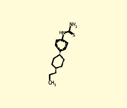 CCC[C@H]1CC[C@H](c2ccc(NC(N)=S)cc2)CC1